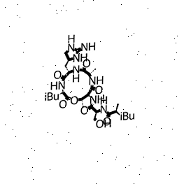 CC[C@H](C)[C@H](C)C(=O)N[C@@H](CO)C(=O)N[C@H]1C(=O)N[C@@H](C)C(=O)N[C@@H](C[C@H]2CNC(=N)N2)C(=O)N[C@@H]([C@@H](C)CC)C(=O)O[C@H]1C